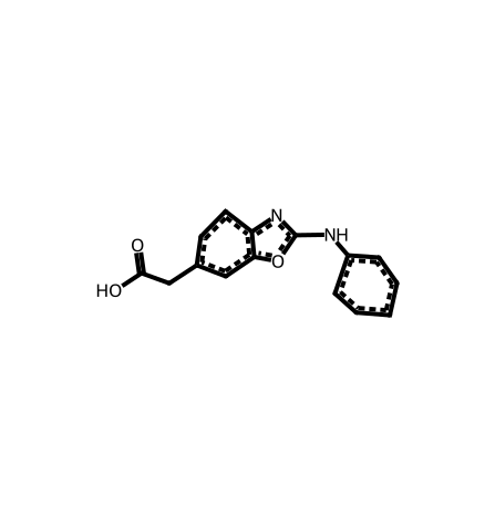 O=C(O)Cc1ccc2nc(Nc3ccccc3)oc2c1